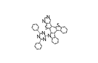 c1ccc(-c2nc(-c3ccccc3)nc(-n3c4ccccc4c4c5c6ccccc6sc5c5c6cncnc6sc5c43)n2)cc1